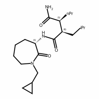 CCC[C@H](C(N)=O)[C@@H](CC(C)C)C(=O)N[C@H]1CCCCN(CC2CC2)C1=O